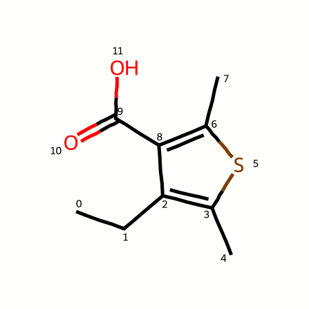 CCc1c(C)sc(C)c1C(=O)O